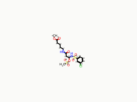 COC(=O)CCCCNC(=O)CC(NS(=O)(=O)c1cccc(Cl)c1)OS(C)(=O)=O